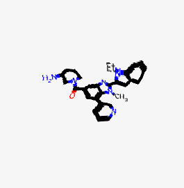 CCn1c(-c2nc3cc(C(=O)N4CCCC(N)C4)cc(-c4cccnc4)c3n2C)cc2ccccc21